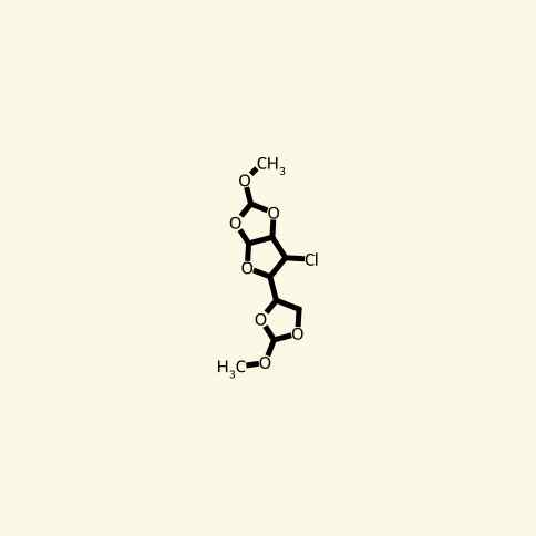 COC1OCC(C2OC3OC(OC)OC3C2Cl)O1